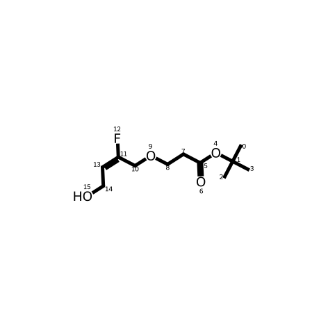 CC(C)(C)OC(=O)CCOC/C(F)=C\CO